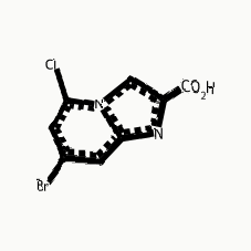 O=C(O)c1cn2c(Cl)cc(Br)cc2n1